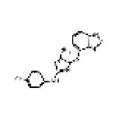 Nc1nc(Nc2ccc(Cl)cc2)nn1Sc1cccc2nonc12